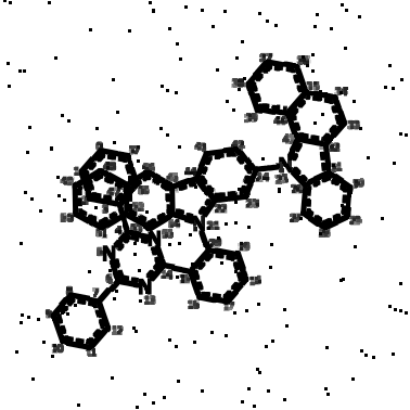 c1ccc(-c2nc(-c3ccccc3)nc(-c3ccccc3-n3c4cc(-n5c6ccccc6c6ccc7ccccc7c65)ccc4c4cc5ccccc5cc43)n2)cc1